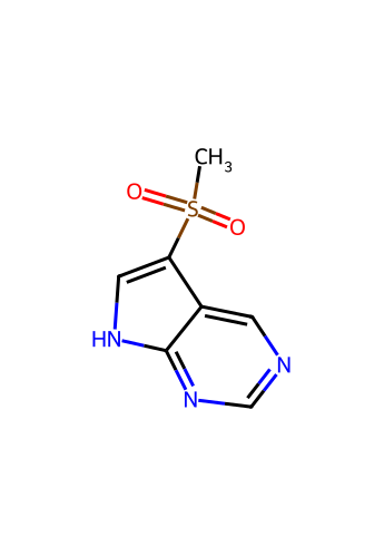 CS(=O)(=O)c1c[nH]c2ncncc12